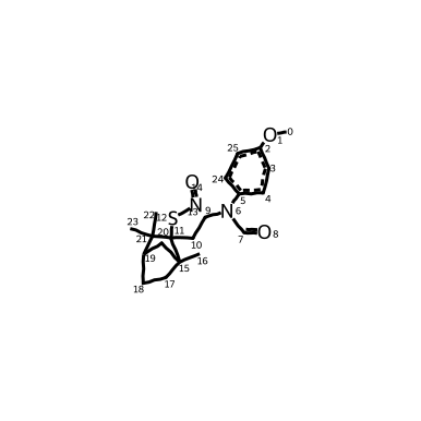 COc1ccc(N(C=O)CCC2(SN=O)C3(C)CCC(C3)C2(C)C)cc1